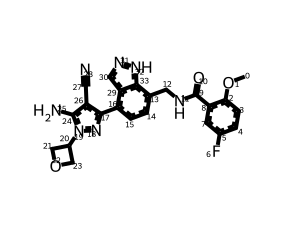 COc1ccc(F)cc1C(=O)NCc1ccc(-c2nn(C3COC3)c(N)c2C#N)c2cn[nH]c12